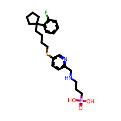 O=P(O)(O)CCCNCc1ccc(SCCCCC2(c3ccccc3F)CCCC2)cn1